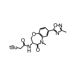 Cc1noc(-c2ccc3c(c2)N(C)C(=O)[C@@H](NC(=O)CC(C)(C)C)CO3)n1